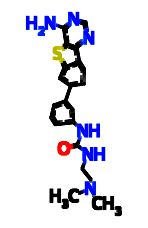 CN(C)CCNC(=O)Nc1cccc(-c2ccc3c(c2)sc2c(N)ncnc23)c1